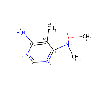 CON(C)c1ncnc(N)c1C